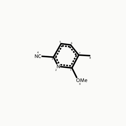 COc1nc(C#N)ccc1C